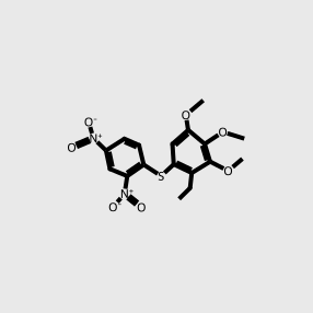 CCc1c(Sc2ccc([N+](=O)[O-])cc2[N+](=O)[O-])cc(OC)c(OC)c1OC